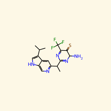 CC(C)c1c[nH]c2cnc(C(C)C3=NC(N)C(=S)C(C(F)(F)F)=N3)cc12